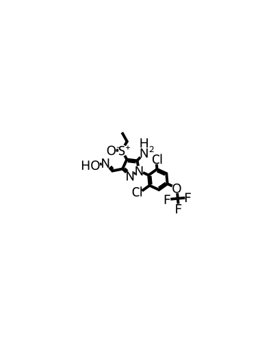 CC[S+]([O-])c1c(/C=N/O)nn(-c2c(Cl)cc(OC(F)(F)F)cc2Cl)c1N